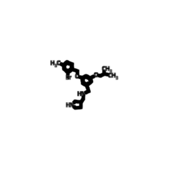 Cc1ccc(COc2cc(CNCC3CCNC3)cc(OCC(C)C)c2)c(Br)c1